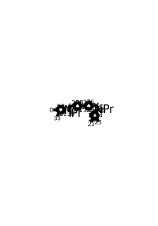 Cc1ccc(N(Cc2ccc(-c3ccc(CN(c4ccc(C)c(C)c4)C(C)C)cc3)cc2)C(C)C)cc1C